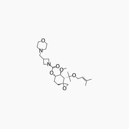 CO[C@H]1[C@H](C(C)(C)OCC=C(C)C)[C@]2(CC[C@H]1OC(=O)N1CC(CN3CCOCC3)C1)CO2